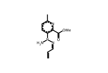 C=C/C=N\N(N)c1ccc(C)nc1C(=O)OC